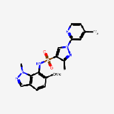 COc1ccc2cnn(C)c2c1NS(=O)(=O)c1cn(-c2cc(C(F)(F)F)ccn2)nc1C